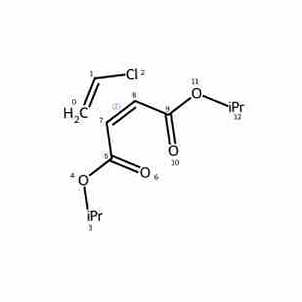 C=CCl.CC(C)OC(=O)/C=C\C(=O)OC(C)C